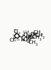 COC(=O)C12ON=C(c3cc(Cl)cc(Cl)c3)C1CCN2C(=O)OC(C)(C)C